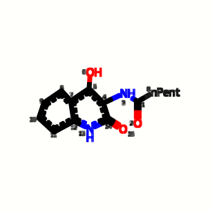 CCCCCC(=O)Nc1c(O)c2ccccc2[nH]c1=O